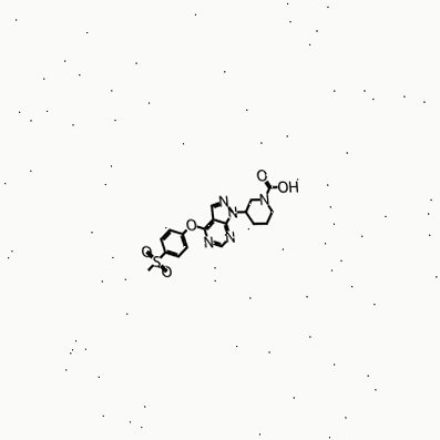 CS(=O)(=O)c1ccc(Oc2ncnc3c2cnn3C2CCCN(C(=O)O)C2)cc1